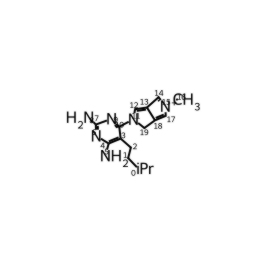 CC(C)CCc1c(N)nc(N)nc1N1C=C2C=[N+](C)C=C2C1